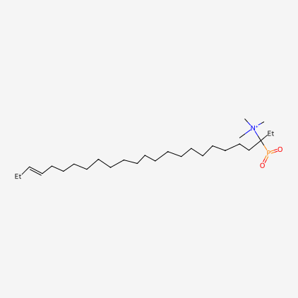 CCC=CCCCCCCCCCCCCCCCCCCC(CC)(P(=O)=O)[N+](C)(C)C